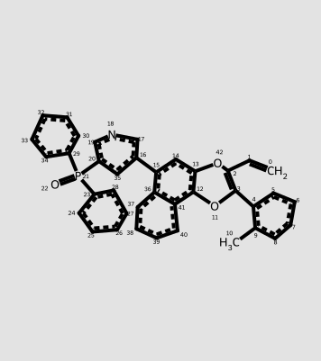 C=CC1=C(c2ccccc2C)Oc2c(cc(-c3cncc(P(=O)(c4ccccc4)c4ccccc4)c3)c3ccccc23)O1